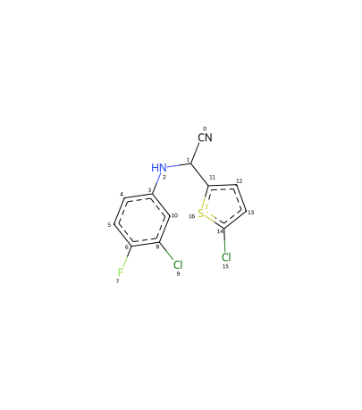 N#CC(Nc1ccc(F)c(Cl)c1)c1ccc(Cl)s1